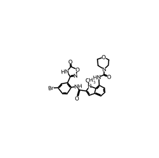 Cn1c(C(=O)Nc2ccc(Br)cc2-c2noc(=O)[nH]2)cc2cccc(NC(=O)N3CCOCC3)c21